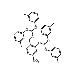 Cc1cccc(OP(OCc2ccc([N+](=O)[O-])cc2OP(Oc2cccc(C)c2)Oc2cccc(C)c2)Oc2cccc(C)c2)c1